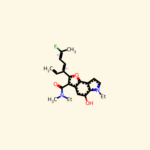 C=C/C(=C\C=C(/C)F)c1oc2c(cc(O)c3c2ccn3CC)c1C(=O)N(C)CC